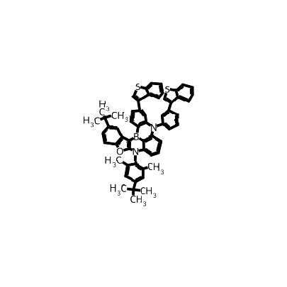 Cc1cc(C(C)(C)C)cc(C)c1N1c2cccc3c2B(c2ccc(-c4csc5ccccc45)cc2N3c2cccc(-c3csc4ccccc34)c2)c2c1oc1ccc(C(C)(C)C)cc21